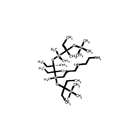 CCC(CC)(O[Si](C)(CCCNCCN)C(C)(CC)[C@@](C)(CC)O[Si](C)(C)[C@](C)(CC)O[Si](C)(C)C)[Si](C)(C)C